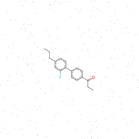 CCCc1ccc(-c2ccc(C(=O)CC)cc2)c(F)c1